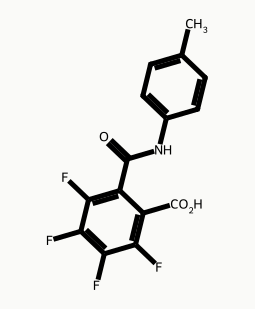 Cc1ccc(NC(=O)c2c(F)c(F)c(F)c(F)c2C(=O)O)cc1